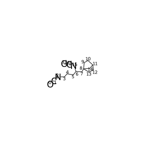 O=C=NCCCC(CC12CCC(CC1)C2)N=C=O